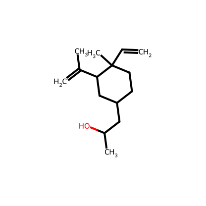 C=CC1(C)CCC(CC(C)O)CC1C(=C)C